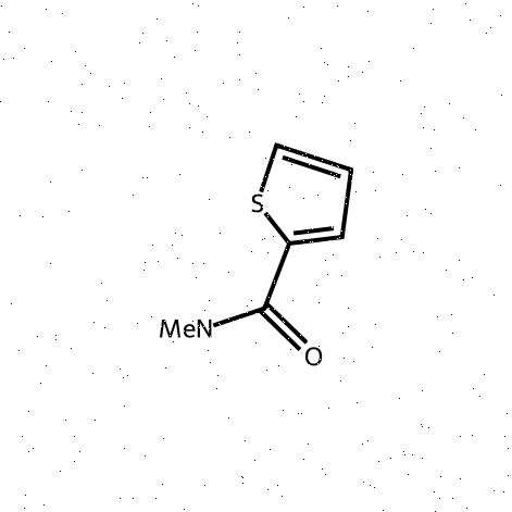 [CH2]NC(=O)c1cccs1